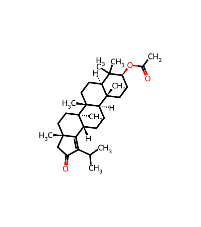 CC(=O)O[C@H]1CC[C@]2(C)[C@H]3CC[C@@H]4C5=C(C(C)C)C(=O)C[C@]5(C)CC[C@@]4(C)[C@]3(C)CC[C@H]2C1(C)C